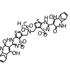 CS(=O)(=O)N(Cc1csc2c1S(=O)(=O)N=C(C1=C(O)C3C4C=CC(C4)C3NC1=O)N2)Cc1csc2c1S(=O)(=O)N=C(C1=C(O)C3C4C=CC(C4)C3NC1=O)N2